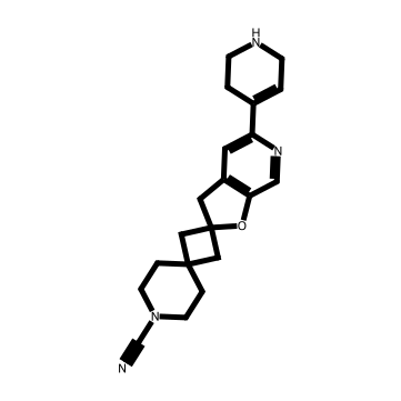 N#CN1CCC2(CC1)CC1(Cc3cc(C4=CCNCC4)ncc3O1)C2